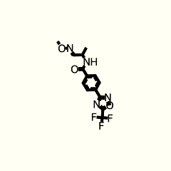 CON=CC(C)NC(=O)c1ccc(-c2noc(C(F)(F)F)n2)cc1